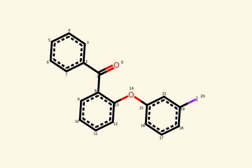 O=C(c1ccccc1)c1ccccc1Oc1cccc(I)c1